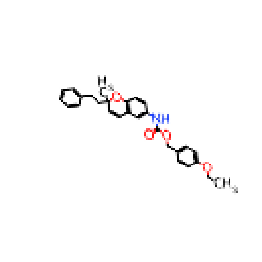 CCOc1ccc(COC(=O)Nc2ccc3c(c2)C=CC(C)(CCc2ccccc2)O3)cc1